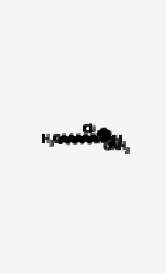 CCCCCCCCCCCC[n+]1cccc(NC(N)=O)c1.[Cl-]